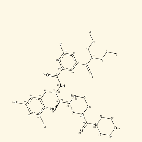 CCCN(CCC)C(=O)c1cc(C)cc(C(=O)N[C@@H](Cc2cc(F)cc(F)c2)[C@H](O)[C@H]2CN(C(=O)N3CCOCC3)CCN2)c1